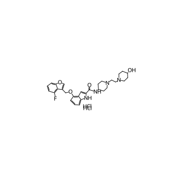 Cl.Cl.O=C(NC1CCN(CCN2CCC(O)CC2)CC1)c1cc2c(OCc3coc4cccc(F)c34)cccc2[nH]1